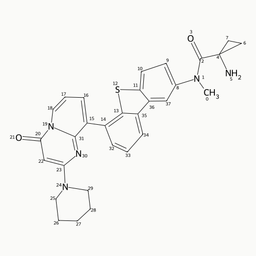 CN(C(=O)C1(N)CC1)c1ccc2sc3c(-c4cccn5c(=O)cc(N6CCCCC6)nc45)cccc3c2c1